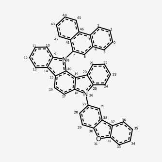 c1ccc2c(c1)cc(-n1c3ccccc3c3ccc4c(c5ccccc5n4-c4ccc5oc6ccccc6c5c4)c31)c1ccccc12